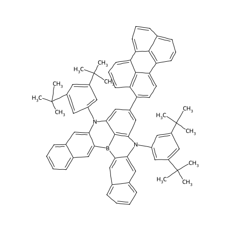 CC(C)(C)c1cc(N2c3cc4ccccc4cc3B3c4cc5ccccc5cc4N(c4cc(C(C)(C)C)cc(C(C)(C)C)c4)c4cc(-c5ccc6c7cccc8cccc(c9cccc5c96)c87)cc2c43)cc(C(C)(C)C)c1